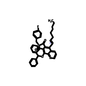 CCCCCC/C=C/c1c2c(c(OC(c3ccccc3)c3ccccc3)c3ncccc13)C(=O)N(Cc1ccc(F)cc1)C2=O